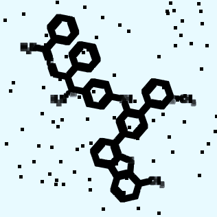 CC1CC=Cc2c1sc1c(-c3ccc(C4=C[C@@H](C)CC=C4)c(Nc4ccc([C@H](N)C(C=C=C(N)c5ccccc5)c5ccccc5)cc4)c3)cccc21